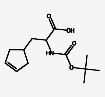 CC(C)(C)OC(=O)NC(CC1CC=CC1)C(=O)O